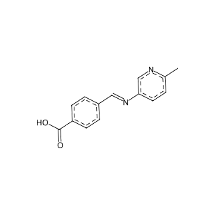 Cc1ccc(N=Cc2ccc(C(=O)O)cc2)cn1